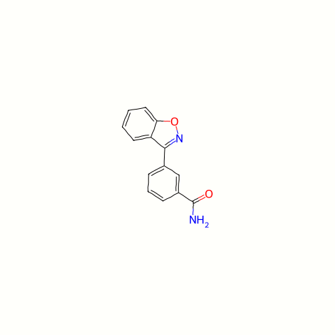 NC(=O)c1cccc(-c2noc3ccccc23)c1